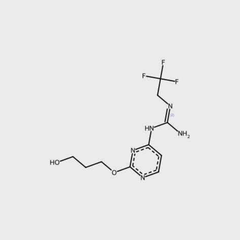 N/C(=N/CC(F)(F)F)Nc1ccnc(OCCCO)n1